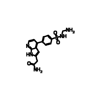 NCNS(=O)(=O)c1ccc(-c2ccnc3[nH]c(CC(N)=O)cc23)cc1